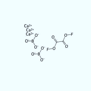 O=C(OF)C(=O)OF.[Ca+2].[Ca+2].[Ca+2].[O-]B([O-])[O-].[O-]B([O-])[O-]